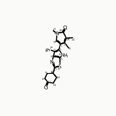 Cc1c(-c2[nH]c3sc(C4CCC(=O)CC4)nc3c2C(C)C)cn(C)c(=O)c1C